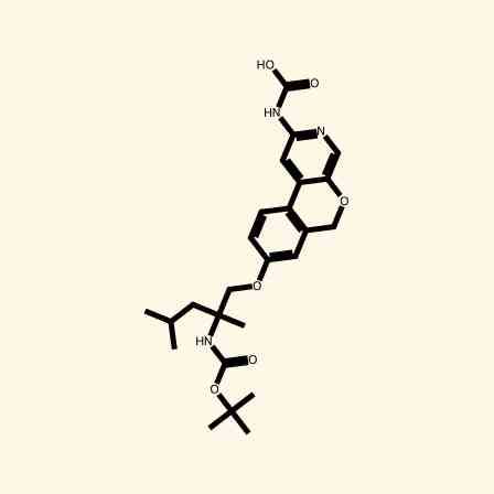 CC(C)CC(C)(COc1ccc2c(c1)COc1cnc(NC(=O)O)cc1-2)NC(=O)OC(C)(C)C